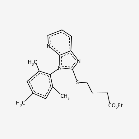 CCOC(=O)CCCSc1nc2cccnc2n1-c1c(C)cc(C)cc1C